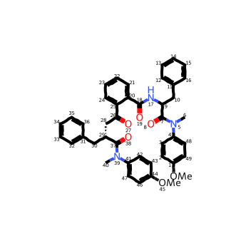 COc1ccc(N(C)C(=O)C(Cc2ccccc2)NC(=O)c2ccccc2C(=O)C[C@@H](Cc2ccccc2)C(=O)N(C)c2ccc(OC)cc2)cc1